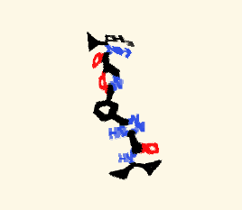 C[C@H](NC(=O)c1cnc(-c2cccc(-c3nnc(C(=O)NC(C4CC4)C4CC4)[nH]3)c2)o1)C1CC1